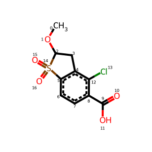 COC1Cc2c(ccc(C(=O)O)c2Cl)S1(=O)=O